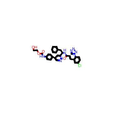 O=C(/C=C/c1cc(Cl)ccc1-n1cnnn1)NC(Cc1ccccc1)c1cc(-c2ccc(NC(=O)OCCO)cc2)cnn1